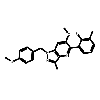 COc1ccc(Cn2nc(I)c3nc(-c4cccc(C)c4F)c(OC)cc32)cc1